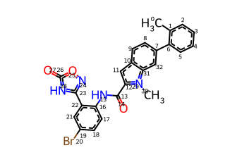 Cc1ccccc1-c1ccc2cc(C(=O)Nc3ccc(Br)cc3-c3noc(=O)[nH]3)n(C)c2c1